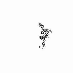 COc1ccc(COC(CC(C)(N)OC(=O)/C=C\C(=O)OC(C)(N)CC(OCc2cccc(OC)c2)c2ccccc2)c2ccccc2)cc1